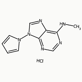 CNc1ncnc2c1ncn2-n1cccc1.Cl